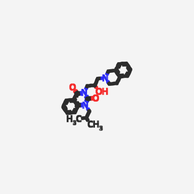 CC(C)Cn1c(=O)n(CC(O)CN2CCc3ccccc3C2)c(=O)c2ccccc21